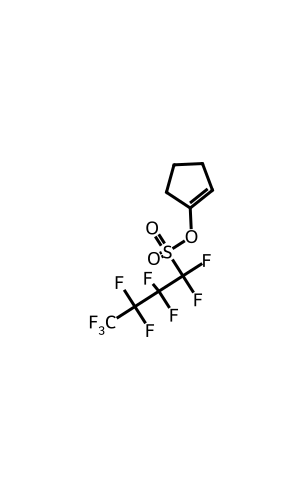 O=S(=O)(OC1=CCCC1)C(F)(F)C(F)(F)C(F)(F)C(F)(F)F